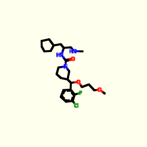 CNCC(CC1CCCCC1)NC(=O)N1CCCC(C(OCCCOC)c2cccc(Cl)c2F)C1